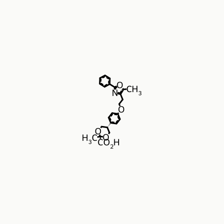 Cc1oc(-c2ccccc2)nc1CCOc1ccc([C@H]2CO[C@](C)(C(=O)O)OC2)cc1